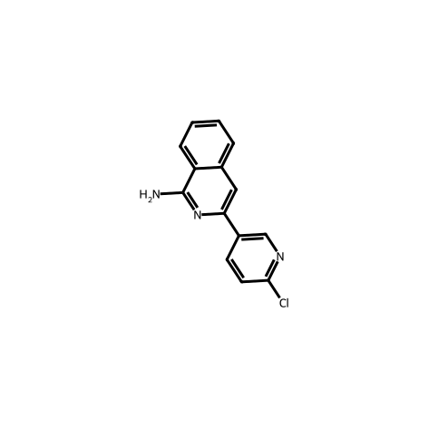 Nc1nc(-c2ccc(Cl)nc2)cc2ccccc12